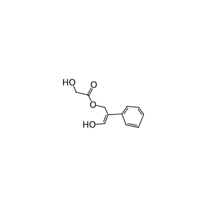 O=C(CO)OCC(=CO)c1ccccc1